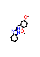 COc1ccc(OC)c(Cc2nc3ccccc3[nH]2)c1